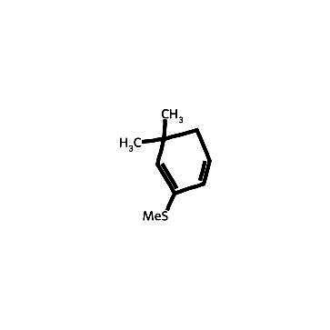 CSC1=CC(C)(C)CC=C1